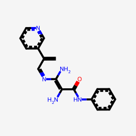 C=C(/C=N\C(N)=C(/N)C(=O)Nc1ccccc1)c1cccnc1